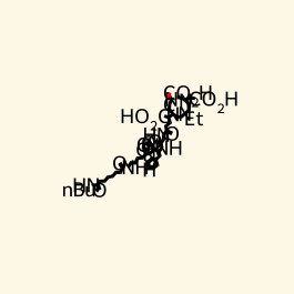 CCCCNC(=O)CCCCCCC(=O)NCCCCC1NC(C(Cc2ccccc2)NC(=O)CNC(=O)CCC(C(=O)O)N2CCN(CC)CCN(CC(=O)O)CCN(CC(=O)O)CC2)=NOOO1